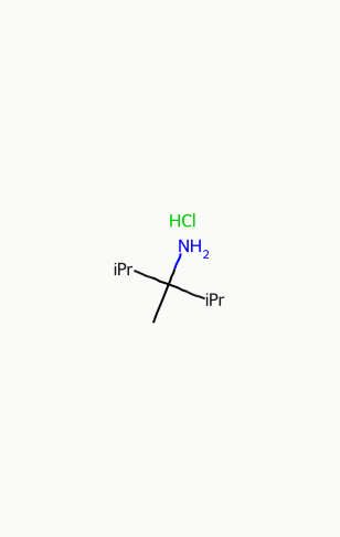 CC(C)C(C)(N)C(C)C.Cl